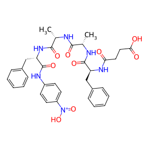 C[C@H](NC(=O)[C@H](C)NC(=O)[C@H](Cc1ccccc1)NC(=O)CCC(=O)O)C(=O)N[C@@H](Cc1ccccc1)C(=O)Nc1ccc([N+](=O)O)cc1